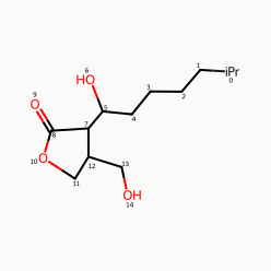 CC(C)CCCCC(O)C1C(=O)OCC1CO